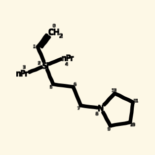 C=C[Si](CCC)(CCC)CCCN1CCCC1